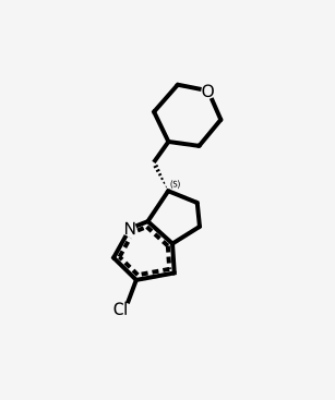 Clc1cnc2c(c1)CC[C@H]2CC1CCOCC1